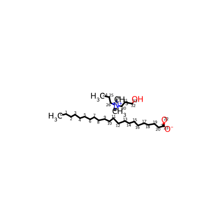 CCCCCCCCCCCCCCCCCCCCCC(=O)[O-].CCC[N+](C)(C)CCCO